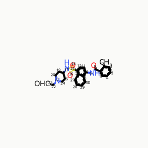 Cc1ccccc1C(=O)Nc1ccc(S(=O)(=O)NC2CCN(CC=O)CC2)c2ccccc12